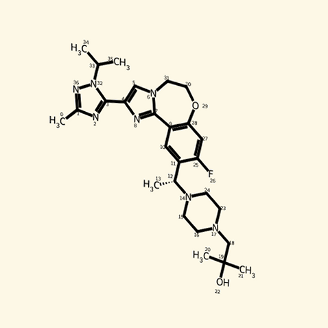 Cc1nc(-c2cn3c(n2)-c2cc([C@@H](C)N4CCN(CC(C)(C)O)CC4)c(F)cc2OCC3)n(C(C)C)n1